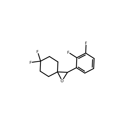 Fc1cccc(C2OC23CCC(F)(F)CC3)c1F